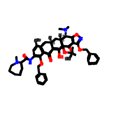 COc1cc(NC(=O)C2CCCCCN2C)c(OCc2ccccc2)c2c1C[C@H]1C[C@H]3[C@H](N(C)C)c4onc(OCc5ccccc5)c4C(=O)C3(O[Si](C)(C)C(C)(C)C)C(O)=C1C2=O